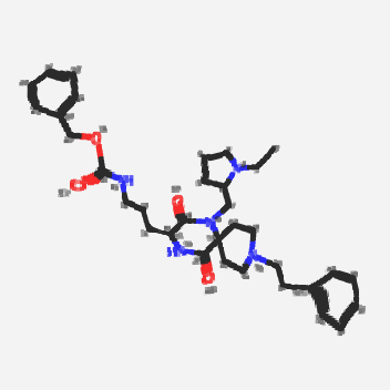 CCN1CCCC1CN1C(=O)[C@H](CCCNC(=O)OCc2ccccc2)NC(=O)C12CCN(CCc1ccccc1)CC2